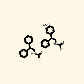 S=C([S-])NCC(c1ccccc1)c1ccccc1.S=C([S-])NCC(c1ccccc1)c1ccccc1.[Mg+2]